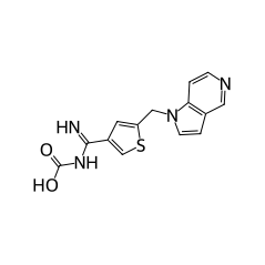 N=C(NC(=O)O)c1csc(Cn2ccc3cnccc32)c1